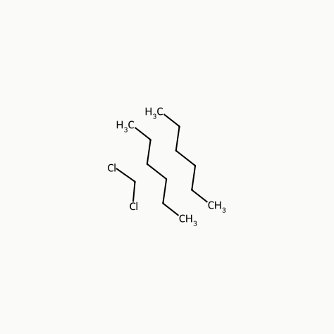 CCCCCC.CCCCCC.ClCCl